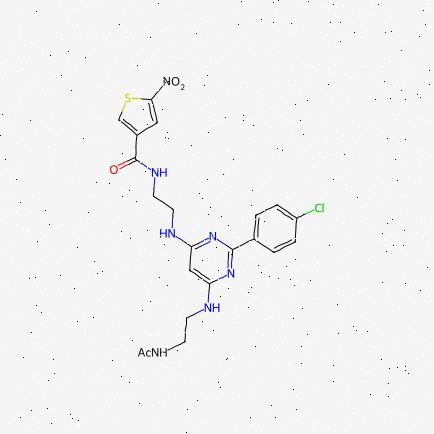 CC(=O)NCCNc1cc(NCCNC(=O)c2csc([N+](=O)[O-])c2)nc(-c2ccc(Cl)cc2)n1